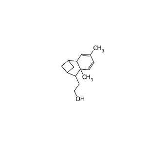 CC1=CC2C3CC(C3)C(CCO)C2(C)C=C1